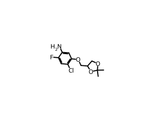 CC1(C)OCC(COc2cc(N)c(F)cc2Cl)O1